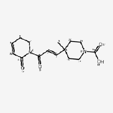 CC1(/C=C/C(=O)N2CCC=CC2=O)CCN(C(=O)O)CC1